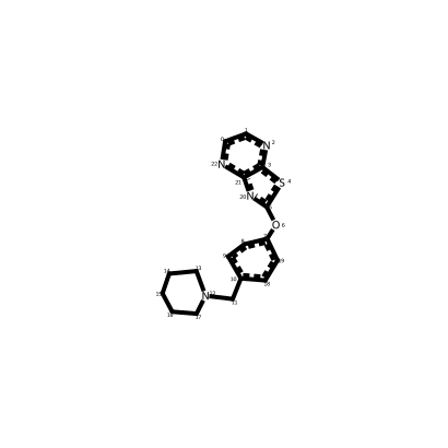 c1cnc2sc(Oc3ccc(CN4CCCCC4)cc3)nc2n1